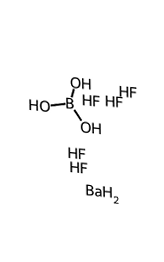 F.F.F.F.F.OB(O)O.[BaH2]